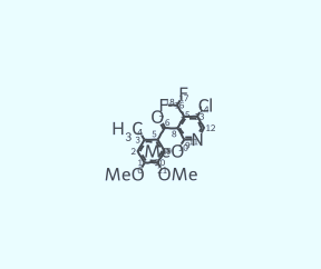 COc1cc(C)c(C(=O)c2c(OC)ncc(Cl)c2C(F)F)cc1OC